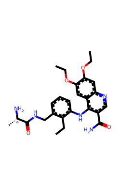 CCOc1cc2ncc(C(N)=O)c(Nc3cccc(CNC(=O)[C@H](C)N)c3CC)c2cc1OCC